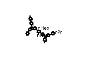 CCCCCCc1cc(-c2ccc3c(c2)c2cc(-c4ccccc4)ccc2n3-c2ccc(-c3ccc(C)cc3)cc2)c(CCCCCC)cc1-c1ccc(N(c2ccc(C)cc2)c2ccc(-c3ccc(CCC)cc3)cc2)cc1